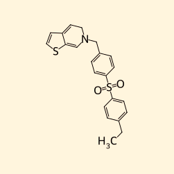 CCc1ccc(S(=O)(=O)c2ccc(CN3C=c4sccc4=CC3)cc2)cc1